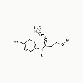 CCOCCC(=O)N(CC)c1cc[c]([Ge])cc1.O.O.O